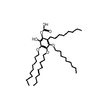 CCCCCCCCCOc1c(O)c(OC(=O)O)c(CCCCCCCC)c(OCCCCCCCCC)c1OCCCCCCCCC